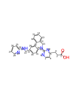 O=C(O)CCc1ccnc(N(Cc2ccccc2)c2ccc(CNc3ccccn3)cc2)n1